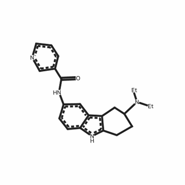 CCN(CC)C1CCc2[nH]c3ccc(NC(=O)c4cccnc4)cc3c2C1